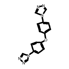 c1cc(-n2cnnc2)ccc1Oc1ccc(-n2cnnc2)cc1